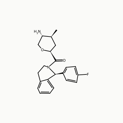 C[C@H]1C[C@@H](C(=O)N2CCc3ccccc3[C@@H]2c2ccc(F)cc2)OC[C@@H]1N